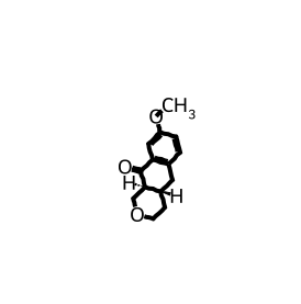 COc1ccc2c(c1)C(=O)[C@@H]1COCC[C@H]1C2